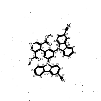 COC(=O)c1cncc(C(=O)OC)c1-c1cc(-n2c3ccccc3c3cc(C#N)ccc32)cc(-n2c3ccccc3c3cc(C#N)ccc32)c1